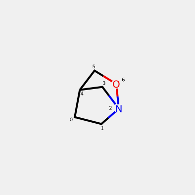 C1CN2CC1CO2